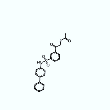 CC(=O)SCC(=O)c1cccc(S(=O)(=O)Nc2ccc(-c3ccccc3)cc2)c1